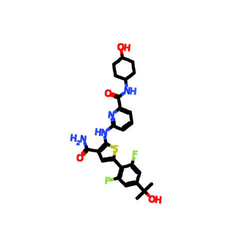 CC(C)(O)c1cc(F)c(-c2cc(C(N)=O)c(Nc3cccc(C(=O)NC4CCC(O)CC4)n3)s2)c(F)c1